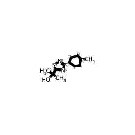 CC(C)(O)c1nc([C@H]2CC[C@H](C)CC2)ns1